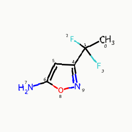 CC(F)(F)c1cc(N)on1